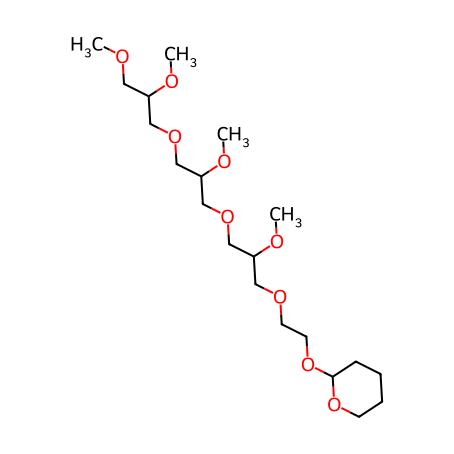 COCC(COCC(COCC(COCCOC1CCCCO1)OC)OC)OC